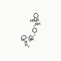 Nc1ncccc1-c1cc(Cc2ccc(CNc3nc4ccccc4[nH]3)cc2)no1